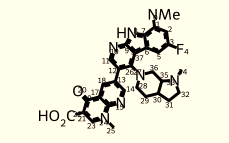 CNc1cc(F)cc2c1[nH]c1ncc(-c3cnc4c(c3)c(=O)c(C(=O)O)cn4C)c(N3CCC4CCN(C)C4C3)c12